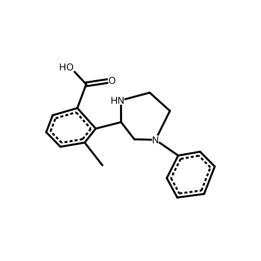 Cc1cccc(C(=O)O)c1C1CN(c2ccccc2)CCN1